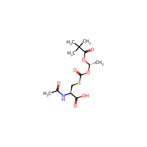 CC(=O)N[C@@H](CSC(=O)O[C@@H](C)OC(=O)C(C)(C)C)C(=O)O